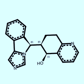 O[C@@H]1c2cccnc2CC[C@@H]1[C@@H]1c2ccccc2-c2cncn21